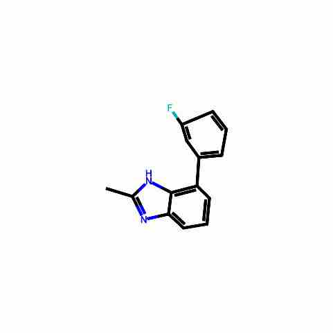 Cc1nc2cccc(-c3cccc(F)c3)c2[nH]1